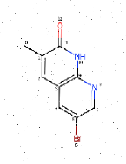 Cc1cc2cc(Br)cnc2[nH]c1=O